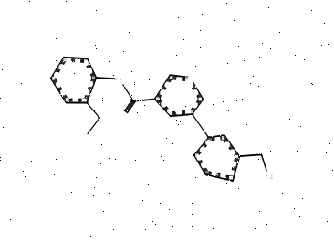 NCc1cccc(-c2cncc(C(=O)Nc3ccccc3CC(=O)O)c2)c1